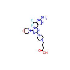 Nc1ncc(-c2nc(N3CCOCC3)nc(N3CCN(CCCC(=O)O)CC3)n2)c(C(F)F)n1